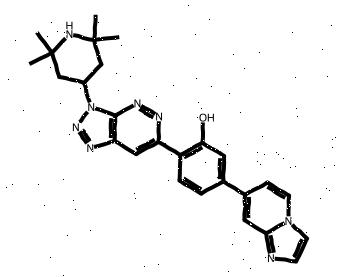 CC1(C)CC(n2nnc3cc(-c4ccc(-c5ccn6ccnc6c5)cc4O)nnc32)CC(C)(C)N1